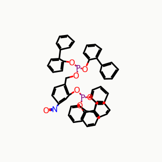 O=Nc1ccc(COP(Oc2ccccc2-c2ccccc2)Oc2ccccc2-c2ccccc2)c(OP(Oc2ccccc2-c2ccccc2)Oc2ccccc2-c2ccccc2)c1